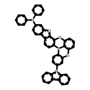 c1ccc(N(c2ccccc2)c2ccc3c(c2)oc2c4c(ccc23)B2c3ccc(-n5c6ccccc6c6ccccc65)cc3Oc3cccc(c32)O4)cc1